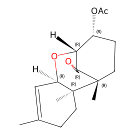 CC(=O)O[C@@H]1CC[C@]2(C)[C@@]3(C)CCC(C)=C[C@H]3O[C@H]1[C@]21CO1